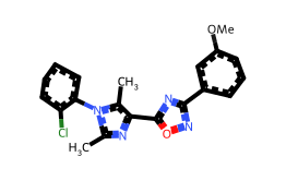 COc1cccc(-c2noc(-c3nc(C)n(-c4ccccc4Cl)c3C)n2)c1